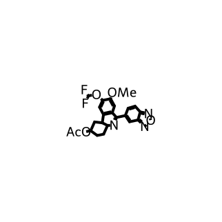 COc1cc2c(cc1OC(F)F)C1CC(OC(C)=O)CCC1N=C2c1ccc2nonc2c1